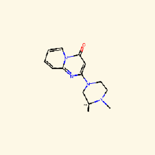 C[C@H]1CN(c2cc(=O)n3ccccc3n2)CCN1C